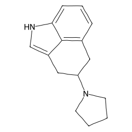 c1cc2c3c(c[nH]c3c1)CC(N1CCCC1)C2